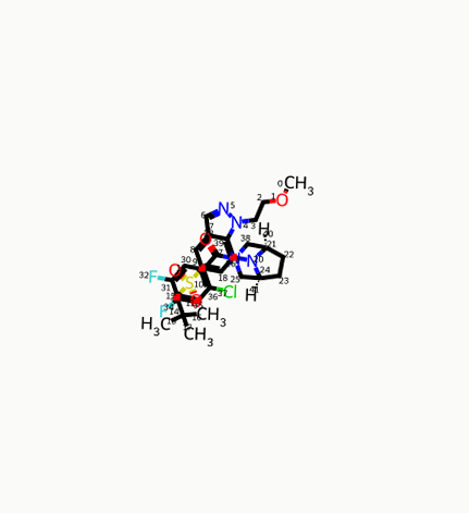 COCCn1ncc2cc(S(=O)(=O)CC(C)(C)C)cc(N3[C@@H]4CC[C@H]3CN(C(=O)c3cc(F)c(F)cc3Cl)C4)c21